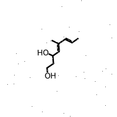 CC=CC(C)=CC(O)CCO